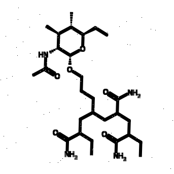 CCC(CC(CCCO[C@H]1O[C@H](CC)[C@@H](C)[C@H](C)[C@H]1NC(C)=O)CC(CC(CC)C(N)=O)C(N)=O)C(N)=O